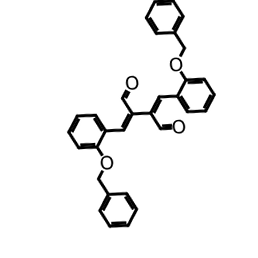 O=CC(=C\c1ccccc1OCc1ccccc1)/C(C=O)=C/c1ccccc1OCc1ccccc1